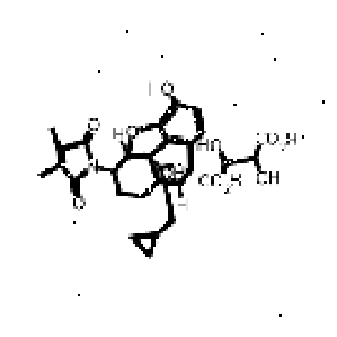 CC1=C(C)C(=O)N([C@@H]2CC[C@@]3(O)[C@H]4Cc5ccc(O)c6c5[C@@]3(CCN4CC3CC3)[C@H]2O6)C1=O.O=C(O)C(O)C(O)C(=O)O